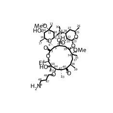 CC[C@H]1OC(=O)[C@H](C)[C@@H](O[C@H]2C[C@@](C)(OC)[C@@H](O)[C@H](C)O2)[C@H](C)[C@@H](O[C@@H]2O[C@H](C)C[C@H](N(C)C)[C@H]2O)[C@](C)(OC)C[C@@H](C)C(=O)[C@H](C)[C@@H](OCCCN)[C@]1(C)O